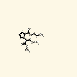 CCCOC(=O)c1cccn1C(=COC)C(=O)OC